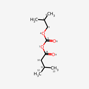 CC(C)COC(=O)OC(=O)CC(C)C